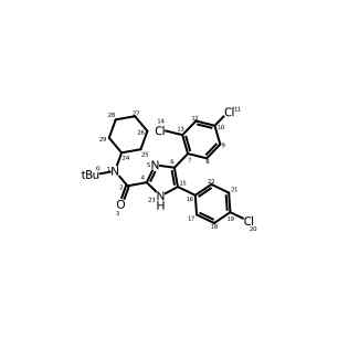 CC(C)(C)N(C(=O)c1nc(-c2ccc(Cl)cc2Cl)c(-c2ccc(Cl)cc2)[nH]1)C1CCCCC1